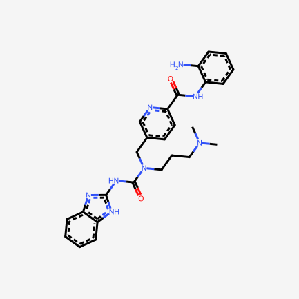 CN(C)CCCN(Cc1ccc(C(=O)Nc2ccccc2N)nc1)C(=O)Nc1nc2ccccc2[nH]1